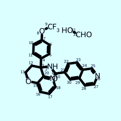 O=C(NC1(c2ccc(OC(F)(F)F)cc2)CCOc2cccnc21)c1ccc2cnccc2c1.O=CO